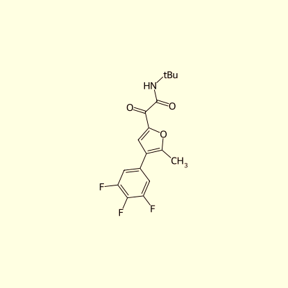 Cc1oc(C(=O)C(=O)NC(C)(C)C)cc1-c1cc(F)c(F)c(F)c1